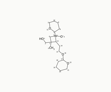 CC1(CO)C[N+]([O-])(C2CCCCO2)C1CCOC1CCCCO1